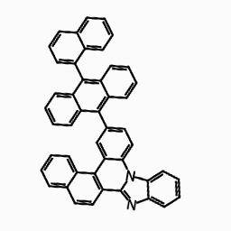 c1ccc2c(-c3c4ccccc4c(-c4ccc5c(c4)c4c6ccccc6ccc4c4nc6ccccc6n54)c4ccccc34)cccc2c1